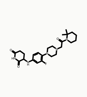 CC1(C)CCCCN1C(=O)CN1CCN(c2ccc(NC3CCC(=O)NC3=O)cc2F)CC1